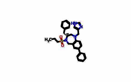 CCCS(=O)(=O)N1Cc2cc(-c3ccccc3)ccc2N(Cc2c[nH]cn2)C[C@H]1Cc1ccccc1